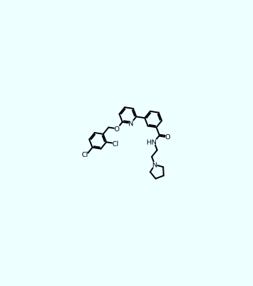 O=C(NCCN1CCCC1)c1cccc(-c2cccc(OCc3ccc(Cl)cc3Cl)n2)c1